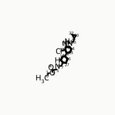 CCOC(=O)CNCc1ccc(-c2ccc3c(nnn3CC3CC3)c2Cl)cc1